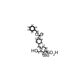 CC(C)(C)C1C(CO)N(CC2CCN(C(=O)OCc3ccccc3)CC2)CCN1C(=O)O